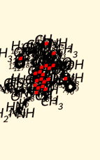 CCCC[C@@H](C(=O)N(C)[C@@H](CCCC)C(=O)N[C@@H](CCCNC(=N)N)C(=O)N[C@@H](CS)C(=O)NCC(N)=O)N(C)C(=O)[C@H](Cc1c[nH]c2ccccc12)NC(=O)[C@H](CO)NC(=O)[C@H](Cc1c[nH]c2ccccc12)NC(=O)[C@H](CO)NC(=O)[C@H](CC(C)C)NC(=O)[C@H](Cc1c[nH]cn1)NC(=O)[C@@H]1CCCN1C(=O)[C@H](CC(N)=O)NC(=O)[C@H](C)N(C)C(=O)[C@H](Cc1ccccc1)N(Cl)C(C)=O